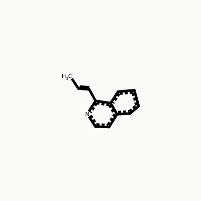 CC=Cc1nccc2ccccc12